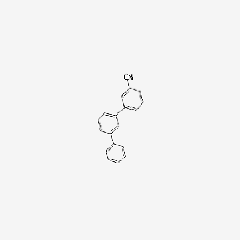 N#Cc1cccc(-c2cccc(-c3ccccc3)c2)c1